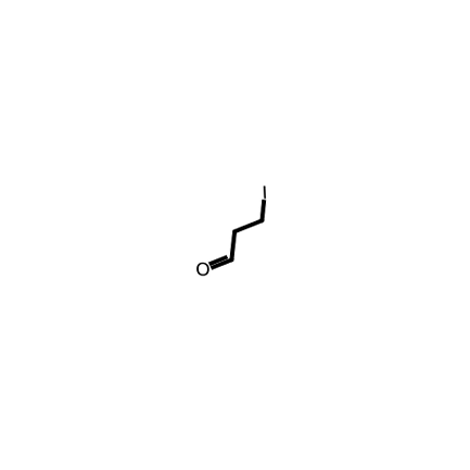 O=CCCI